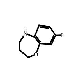 Fc1ccc2c(c1)OCCCN2